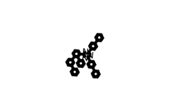 c1ccc(-c2ccc(-c3nc(-c4ccc(-c5ccccc5)cc4)nc(-c4cccc(-c5cccc(-c6ccccc6)c5)c4-c4ccccc4)n3)cc2)cc1